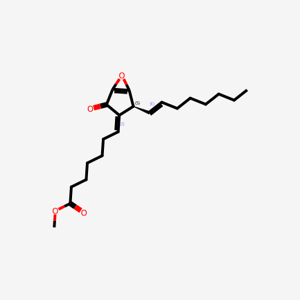 CCCCCC/C=C/[C@@H]1C2=C(O2)C(=O)/C1=C\CCCCCC(=O)OC